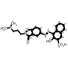 CN(C)CCCn1sc2ccc(N=Nc3c(O)c(C(=O)O)cc4ccccc34)cc2c1=O